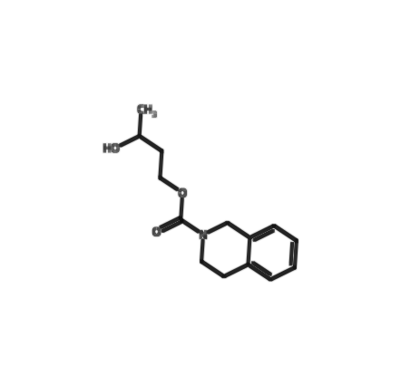 CC(O)CCOC(=O)N1CCc2ccccc2C1